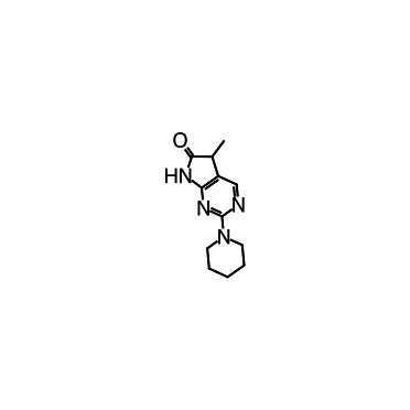 CC1C(=O)Nc2nc(N3CCCCC3)ncc21